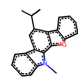 CC(C)c1cc2c3ccccc3n(C)c2c2oc3ccccc3c12